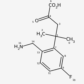 CC(C)(CC(=O)C(=O)O)c1cc(F)ccc1CN